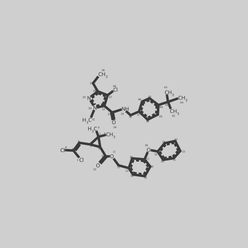 CC1(C)C(C=C(Cl)Cl)C1C(=O)OCc1cccc(Oc2ccccc2)c1.CCc1nn(C)c(C(=O)NCc2ccc(C(C)(C)C)cc2)c1Cl